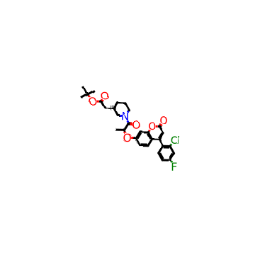 CC(Oc1ccc2c(-c3ccc(F)cc3Cl)cc(=O)oc2c1)C(=O)N1CCC[C@H](CC(=O)OC(C)(C)C)C1